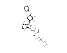 CC(C)(C=C(C#N)C(=O)N1CCCC1Cn1nc(-c2ccc(Oc3ccccc3)cc2F)c2c(N)ncnc21)N1CCCC1